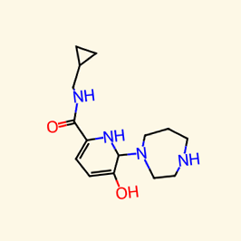 O=C(NCC1CC1)C1=CC=C(O)C(N2CCCNCC2)N1